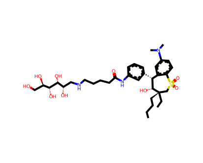 CCCC[C@]1(CC)CS(=O)(=O)c2ccc(N(C)C)cc2[C@@H](c2cccc(NC(=O)CCCCNC[C@H](O)[C@@H](O)[C@H](O)[C@H](O)CO)c2)[C@H]1O